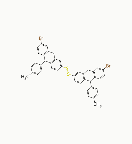 Cc1ccc(C2c3ccc(Br)cc3Cc3cc(SSc4ccc5c(c4)Cc4cc(Br)ccc4C5c4ccc(C)cc4)ccc32)cc1